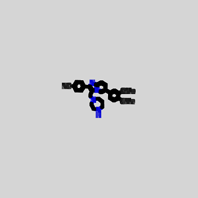 COc1ccc(-c2ccc3nc(-c4ccc(C#N)cc4)c(CN4CCCNCC4)n3c2)cc1OC